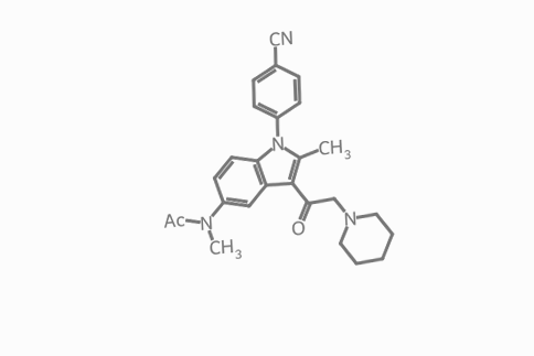 CC(=O)N(C)c1ccc2c(c1)c(C(=O)CN1CCCCC1)c(C)n2-c1ccc(C#N)cc1